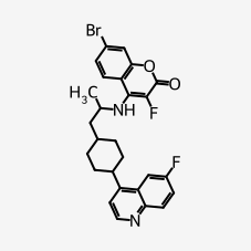 CC(CC1CCC(c2ccnc3ccc(F)cc23)CC1)Nc1c(F)c(=O)oc2cc(Br)ccc12